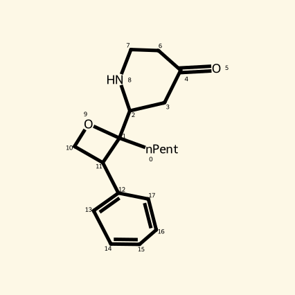 CCCCCC1(C2CC(=O)CCN2)OCC1c1ccccc1